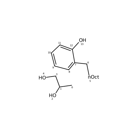 CC(O)CO.CCCCCCCCCc1ccccc1O